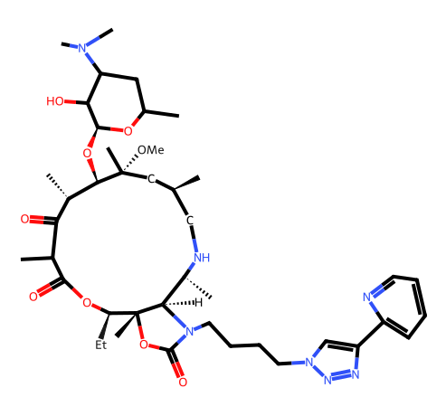 CC[C@H]1OC(=O)C(C)C(=O)[C@H](C)[C@@H](O[C@@H]2OC(C)CC(N(C)C)C2O)[C@](C)(OC)C[C@@H](C)CN[C@H](C)[C@H]2N(CCCCn3cc(-c4ccccn4)nn3)C(=O)O[C@]12C